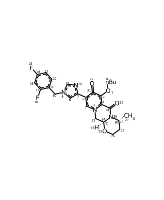 CCCCOc1c2n(cc(-c3cn(Cc4ccc(F)cc4F)cn3)c1=O)C[C@@H]1OCC[C@@H](C)N1C2=O